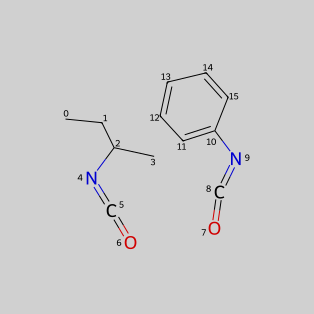 CCC(C)N=C=O.O=C=Nc1ccccc1